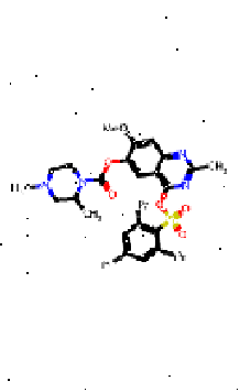 COc1cc2nc(C)nc(OS(=O)(=O)c3c(C(C)C)cc(C(C)C)cc3C(C)C)c2cc1OC(=O)N1CCN(C)CC1C